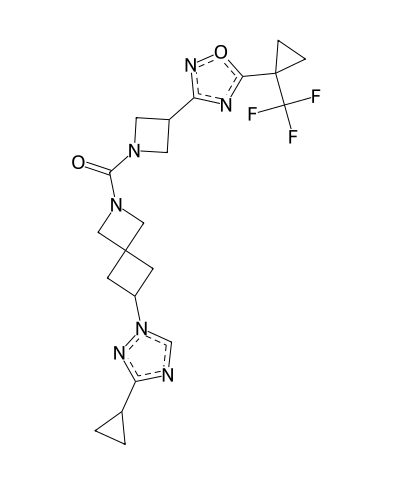 O=C(N1CC(c2noc(C3(C(F)(F)F)CC3)n2)C1)N1CC2(CC(n3cnc(C4CC4)n3)C2)C1